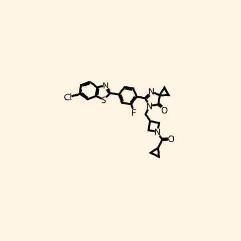 O=C(C1CC1)N1CC(CN2C(=O)C3(CC3)N=C2c2ccc(-c3nc4ccc(Cl)cc4s3)cc2F)C1